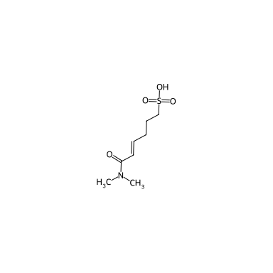 CN(C)C(=O)C=CCCCS(=O)(=O)O